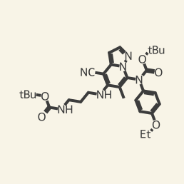 CCOc1ccc(N(C(=O)OC(C)(C)C)c2c(C)c(NCCCNC(=O)OC(C)(C)C)c(C#N)c3ccnn23)cc1